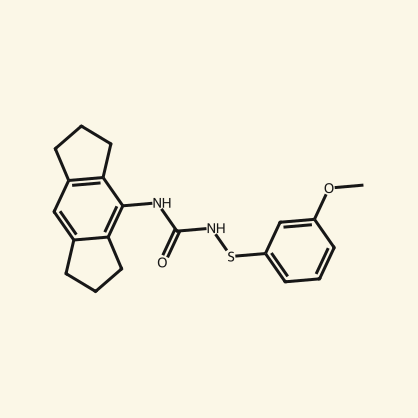 COc1cccc(SNC(=O)Nc2c3c(cc4c2CCC4)CCC3)c1